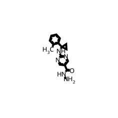 Cc1ccccc1C1(Nc2ncc(C(=O)NN)cn2)CC1